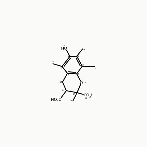 Cc1c(C)c2c(c(C)c1O)CC(C(=O)O)C(C)(C(=O)O)O2